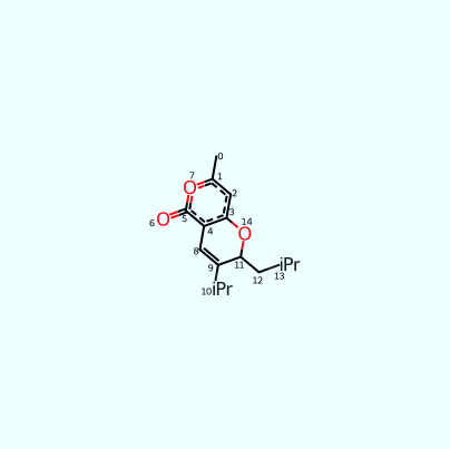 Cc1cc2c(c(=O)o1)C=C(C(C)C)C(CC(C)C)O2